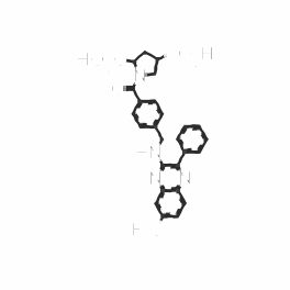 O=C(O)C1CC(C(=O)O)N(C(=O)c2ccc(CNc3nc4cc(C(F)(F)F)ccc4nc3-c3ccccc3)cc2)C1